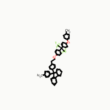 Cc1ccc(Oc2ccc(C(c3ccc(OCCc4ccc(C5(c6ccc(C)cc6)c6ccccc6-c6ccccc65)cc4)cc3)(C(F)(F)F)C(F)(F)F)cc2)cc1